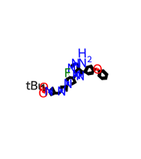 CC(C)(C)OC(=O)N1CC(CN2CC(N3CCC(n4nc(-c5ccc(Oc6ccccc6)cc5)c5c(N)ncnc54)[C@@H](F)C3)C2)C1